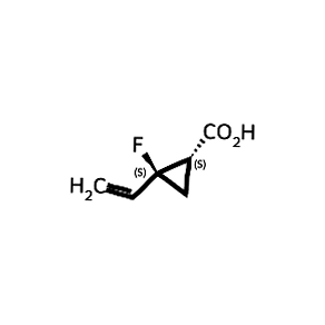 C=C[C@@]1(F)C[C@H]1C(=O)O